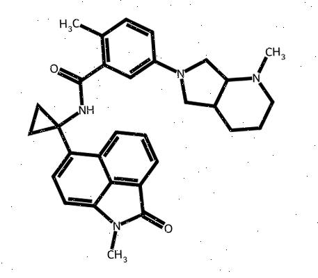 Cc1ccc(N2CC3CCCN(C)C3C2)cc1C(=O)NC1(c2ccc3c4c(cccc24)C(=O)N3C)CC1